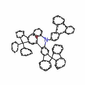 c1ccc(N(c2ccc3c4ccccc4c4ccccc4c3c2)c2cc3c(cc2-c2ccc4c(c2)C(c2ccccc2)(c2ccccc2)c2ccccc2-4)-c2ccccc2C32c3ccccc3-c3ccccc32)cc1